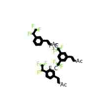 CC(=O)C=Cc1cc(C(F)(F)C(F)(F)F)cc(C(F)(F)C(F)(F)F)c1.CC(=O)C=Cc1ccc(C(F)C(F)F)cc1.CC(=O)C=Cc1cccc(C(F)C(F)F)c1